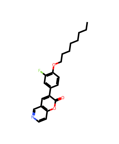 CCCCCCCCOc1ccc(-c2cc3cnccc3oc2=O)cc1F